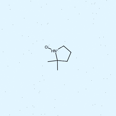 CC1(C)CCC[NH+]1[O-]